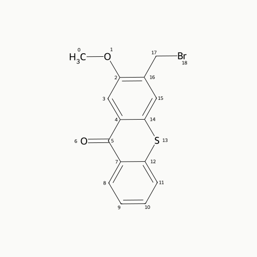 COc1cc2c(=O)c3ccccc3sc2cc1CBr